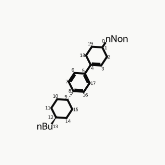 CCCCCCCCCC1CC=C(c2ccc([C@H]3CC[C@H](CCCC)CC3)cc2)CC1